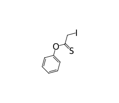 S=C(CI)Oc1ccccc1